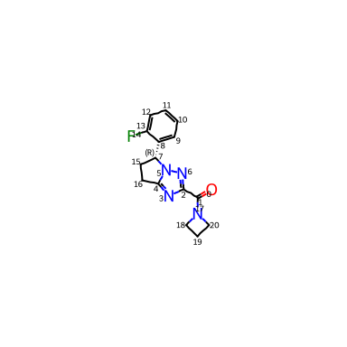 O=C(c1nc2n(n1)[C@@H](c1ccccc1F)CC2)N1CCC1